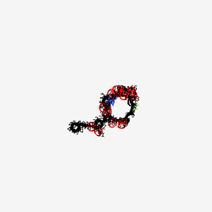 CCC1/C=C(\C)C(F)C(C)CC(OC)C2OC(O)(C(=O)C(=O)N3CCCCC3C(=O)OC(C(C)=CC3CCC(OC/C=C/C4CCCCC4)C(OC)C3)C(C)C(O)CC1=O)C(C)CC2OC